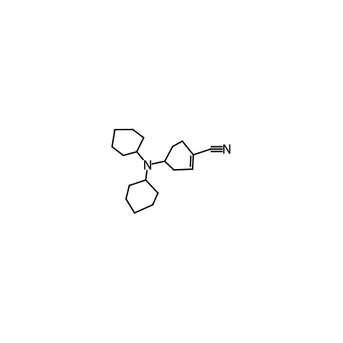 N#CC1=CCC(N(C2CCCCC2)C2CCCCC2)CC1